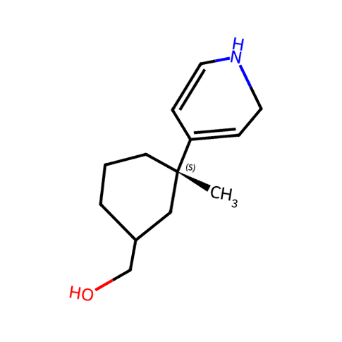 C[C@]1(C2=CCNC=C2)CCCC(CO)C1